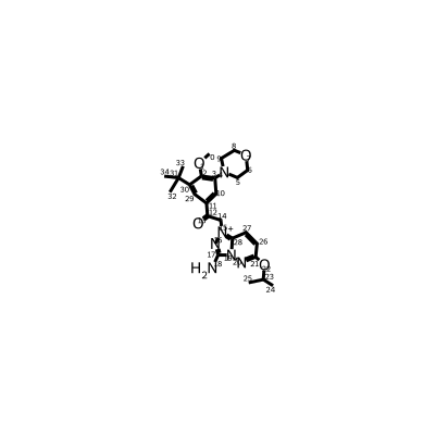 COc1c(N2CCOCC2)cc(C(=O)C[n+]2nc(N)n3nc(OC(C)C)ccc32)cc1C(C)(C)C